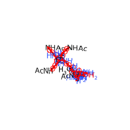 CC(=O)NCCOCCOCCNC(=O)CN1CCN(CC(=O)NCCOCCOCCNC(C)=O)CCN(CC(=O)NCCOCCOCCN2C(=O)[C@@H](NC(=O)[C@H](CCCNC(=N)N)NC(=O)CNC(=O)[C@H](CCCNC(=N)N)NC(=O)[C@H](Cc3ccc(O)cc3)NC(=O)[C@H](Cc3c[nH]c4ccccc34)NC(C)=O)CC2C)CCN(CC(=O)NCCOCCOCCNC(C)=O)CC1